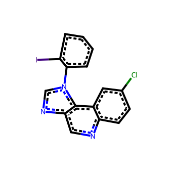 Clc1ccc2ncc3ncn(-c4ccccc4I)c3c2c1